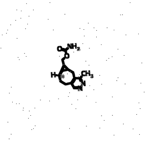 Cc1nncc2c1CC1C3[C@H](CC2)C13COC(N)=O